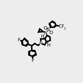 O=S(=O)(c1cccc(C(F)(F)F)c1)N(C1CC1)[C@H]1CC[C@H]2CN(CCC(c3ccc(F)cc3)c3ccc(F)cc3)C[C@H]21